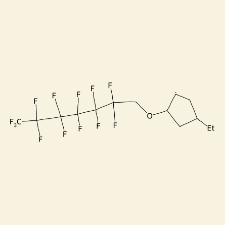 [CH2]CC1C[CH]C(OCC(F)(F)C(F)(F)C(F)(F)C(F)(F)C(F)(F)C(F)(F)F)C1